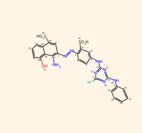 Nc1c(N=Nc2ccc(Nc3nc(F)nc(Nc4ccccc4)n3)cc2S(=O)(=O)O)cc(S(=O)(=O)O)c2cccc(O)c12